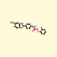 Cc1ccccc1OCC(=O)Nc1ccc(-c2nc3cc(C#N)ccc3o2)cc1